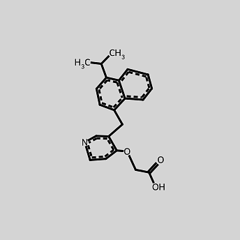 CC(C)c1ccc(Cc2cnccc2OCC(=O)O)c2ccccc12